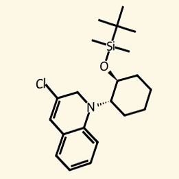 CC(C)(C)[Si](C)(C)O[C@H]1CCCC[C@@H]1N1CC(Cl)=Cc2ccccc21